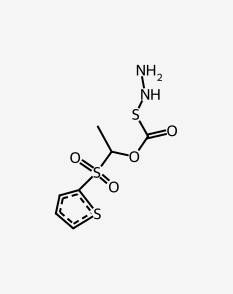 CC(OC(=O)SNN)S(=O)(=O)c1cccs1